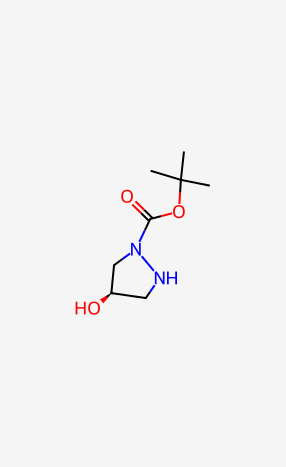 CC(C)(C)OC(=O)N1C[C@H](O)CN1